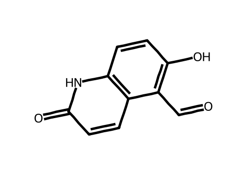 O=Cc1c(O)ccc2[nH]c(=O)ccc12